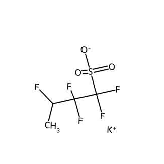 CC(F)C(F)(F)C(F)(F)S(=O)(=O)[O-].[K+]